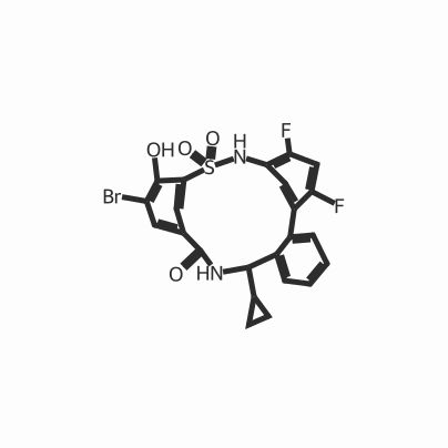 O=C1NC(C2CC2)c2ccccc2-c2cc(c(F)cc2F)NS(=O)(=O)c2cc1cc(Br)c2O